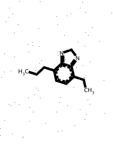 CCCc1ccc(CC)c2c1=NCN=2